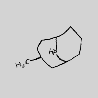 CC1CC2CCCC(C1)P2